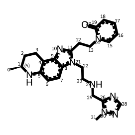 C[C@H]1CCc2c(ccc3c2nc(CCn2ccccc2=O)n3CCNCc2ncnn2C)N1